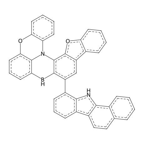 B1c2cccc3c2N(c2ccccc2O3)c2c1c(-c1cccc3c1[nH]c1c4ccccc4ccc31)cc1c2oc2ccccc21